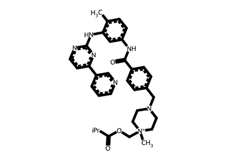 Cc1ccc(NC(=O)c2ccc(CN3CC[N+](C)(COC(=O)C(C)C)CC3)cc2)cc1Nc1nccc(-c2cccnc2)n1